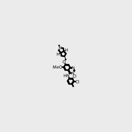 COc1cc2c(Nc3ccc(C)c(Cl)c3Cl)ncnc2cc1OC[C@H]1C[C@@H]2CN(C)C[C@@H]2C1